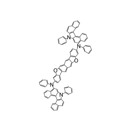 c1ccc(N(c2ccc3c(c2)oc2cc4cc5c(cc4cc23)oc2cc(N(c3ccccc3)c3cc4c(c6ccccc36)c3c6ccccc6ccc3n4-c3ccccc3)ccc25)c2cc3c(c4ccccc24)c2c4ccccc4ccc2n3-c2ccccc2)cc1